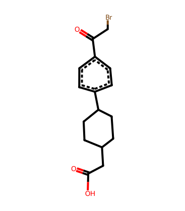 O=C(O)CC1CCC(c2ccc(C(=O)CBr)cc2)CC1